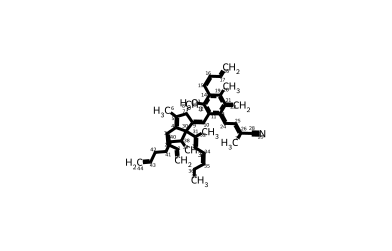 C=C/C=C\C1=C(C)[C@H](C)/C(=C\c2c(C)c(/C=C\C=C)c(C)c(=C)/c2=C\C=C(/C)C#N)C1(/C(C)=C/C=C\CC)C(C)CCCC=C